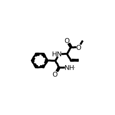 C=CC(NC(C([NH])=O)c1ccccc1)C(=O)OC